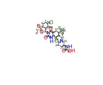 CCS(=O)(=O)c1ccc(Cl)cc1Cn1c(=O)[nH]c2c(Cl)c(CN3CCC[C@H](NC(=O)O)C3)c(C(F)(F)F)cc2c1=O